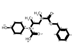 CC(CN(C)C(=O)OCc1ccccc1)N(C(=O)O)[C@H]1CC[C@H](O)CC1